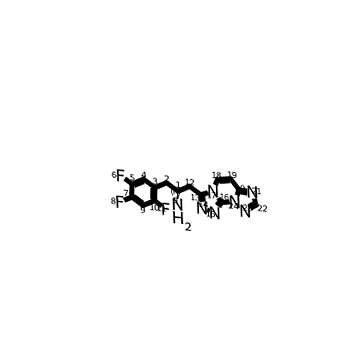 N[C@H](Cc1cc(F)c(F)cc1F)Cc1nnc2n1ccc1ncnn12